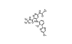 [2H]C([2H])([2H])NC(=O)c1nnc(NC(=O)C2CC2)cc1Nc1cccc(-c2ncc(OC)cn2)c1OC